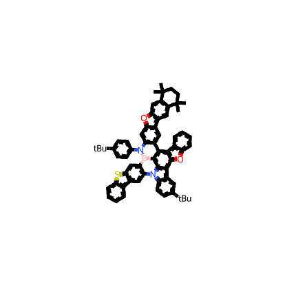 CC(C)(C)c1ccc(N2B3c4cc5sc6ccccc6c5cc4-n4c5ccc(C(C)(C)C)cc5c5c6oc7ccccc7c6c(c3c54)-c3cc4c(cc32)oc2cc3c(cc24)C(C)(C)CCC3(C)C)cc1